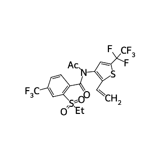 C=Cc1sc(C(F)(F)C(F)(F)F)cc1N(C(C)=O)C(=O)c1ccc(C(F)(F)F)cc1S(=O)(=O)CC